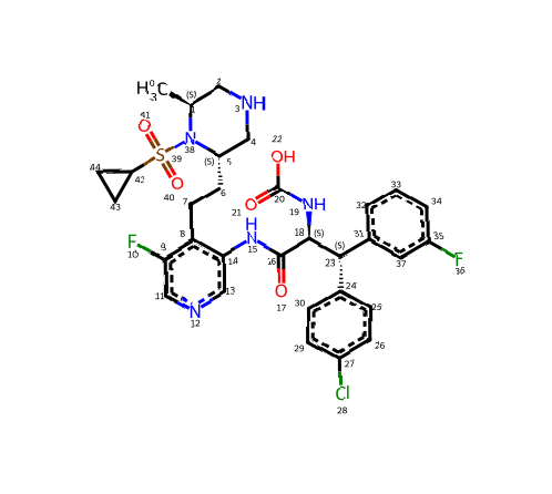 C[C@H]1CNC[C@H](CCc2c(F)cncc2NC(=O)[C@@H](NC(=O)O)[C@@H](c2ccc(Cl)cc2)c2cccc(F)c2)N1S(=O)(=O)C1CC1